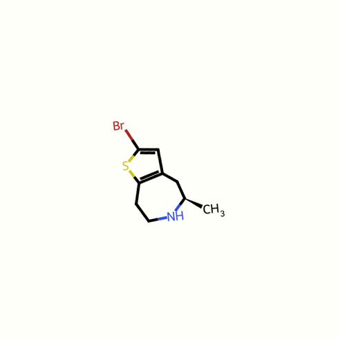 C[C@@H]1Cc2cc(Br)sc2CCN1